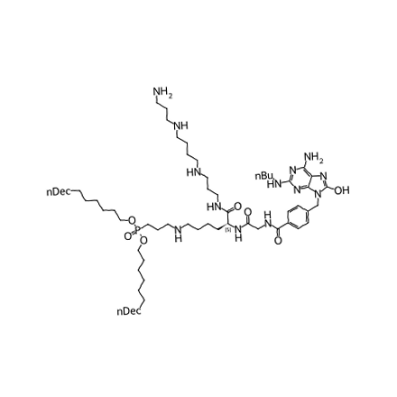 CCCCCCCCCCCCCCCCOP(=O)(CCCNCCCC[C@H](NC(=O)CNC(=O)c1ccc(Cn2c(O)nc3c(N)nc(NCCCC)nc32)cc1)C(=O)NCCCNCCCCNCCCN)OCCCCCCCCCCCCCCCC